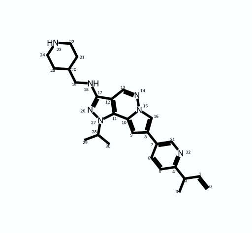 C=CC(C)c1ccc(-c2cc3c4c(cnn3c2)c(NCC2CCNCC2)nn4C(C)C)cn1